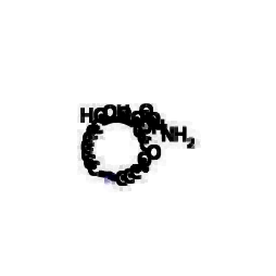 CC1CCC/C=C/CCCCCCCCC(O)C(O)C2OC2C(OP(=O)(O)OCCN)CCCC(=O)O1